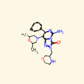 CC1CN(c2c(-c3ccccc3)nc(N)n3c(=O)n(CC4COCCN4)nc23)CC(C)O1